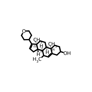 CC1C=C2CC(O)CC[C@]2(C)[C@@H]2CC[C@]3(C)C(C4CCOCC4)=CC[C@H]3[C@H]12